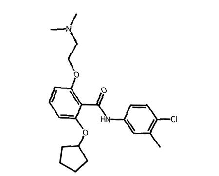 Cc1cc(NC(=O)c2c(OCCN(C)C)cccc2OC2CCCC2)ccc1Cl